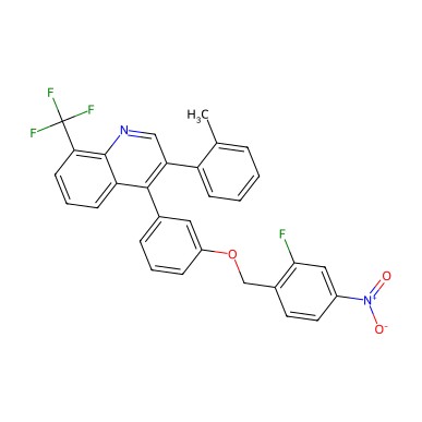 Cc1ccccc1-c1cnc2c(C(F)(F)F)cccc2c1-c1cccc(OCc2ccc([N+](=O)[O-])cc2F)c1